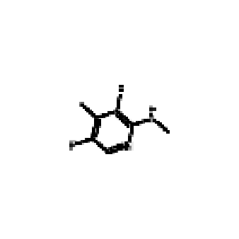 CNc1ncc(F)c(C)c1F